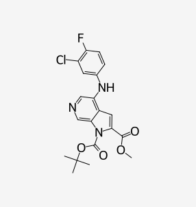 COC(=O)c1cc2c(Nc3ccc(F)c(Cl)c3)cncc2n1C(=O)OC(C)(C)C